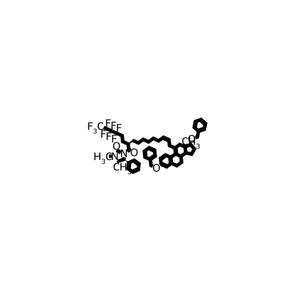 C[C@H]1[C@@H](c2ccccc2)N(C(=O)[C@H](CCCCCC/C=C\CC2=C3c4ccc(OCc5ccccc5)cc4CCC3C3CC[C@H](OCc4ccccc4)[C@@]3(C)C2)CCC(F)(F)C(F)(F)C(F)(F)C(F)(F)F)C(=O)N1C